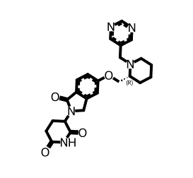 O=C1CCC(N2Cc3cc(OC[C@H]4CCCCN4Cc4cncnc4)ccc3C2=O)C(=O)N1